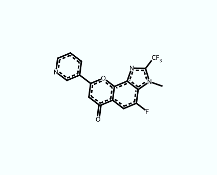 Cn1c(C(F)(F)F)nc2c3oc(-c4cccnc4)cc(=O)c3cc(F)c21